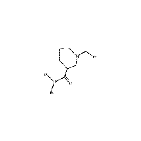 CCN(CC)C(=O)C1CCCN(CC(C)C)C1